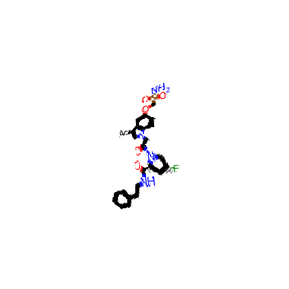 CC(=O)c1cn(CC(=O)N2C[C@H](F)C[C@H]2C(=O)NCCc2ccccc2)c2ccc(OCS(N)(=O)=O)cc12